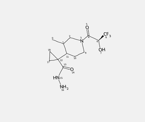 CC1CN(C(=O)[C@H](O)C(F)(F)F)CCC1C1(C(=O)NN)CC1